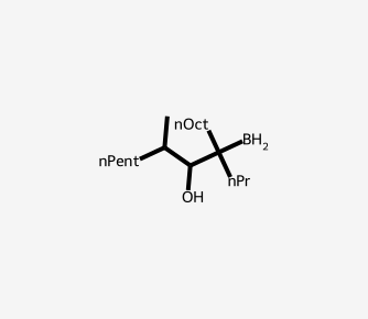 BC(CCC)(CCCCCCCC)C(O)C(C)CCCCC